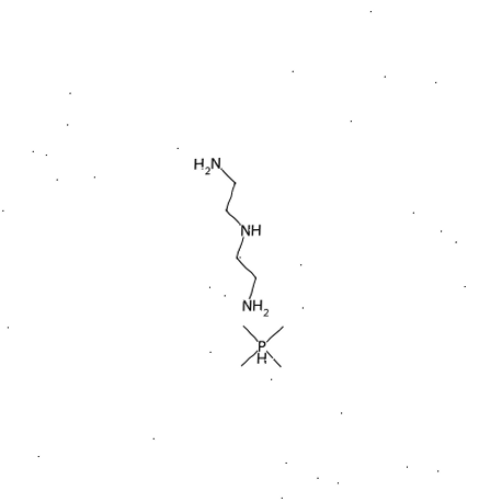 C[PH](C)(C)C.NCCNCCN